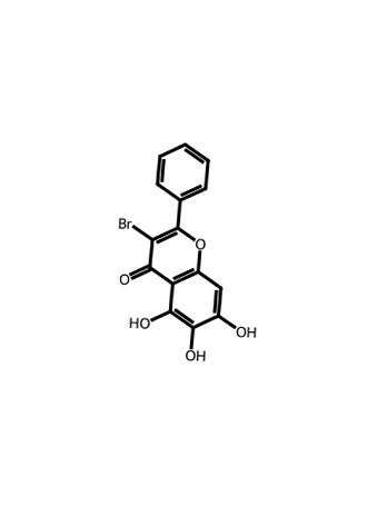 O=c1c(Br)c(-c2ccccc2)oc2cc(O)c(O)c(O)c12